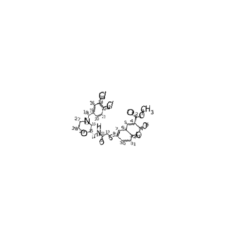 COC(=O)C1=CC2C=C(SCC(=O)NC[C@H]3CN(Cc4ccc(Cl)c(Cl)c4)CCO3)C=CC2OC1=O